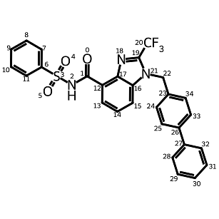 O=C(NS(=O)(=O)c1ccccc1)c1cccc2c1nc(C(F)(F)F)n2Cc1ccc(-c2ccccc2)cc1